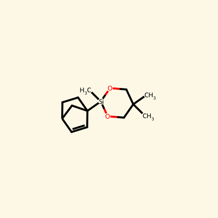 CC1(C)CO[Si](C)(C23C=CC(CC2)C3)OC1